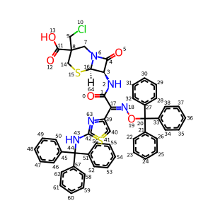 O=C(N[C@@H]1C(=O)N2CC(CCl)(C(=O)O)CS[C@H]12)C(=NOC(c1ccccc1)(c1ccccc1)c1ccccc1)c1csc(NC(c2ccccc2)(c2ccccc2)c2ccccc2)n1